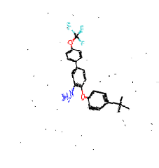 CC(C)(C)c1ccc(Oc2ccc(-c3ccc(OC(F)(F)F)cc3)cc2N)cc1